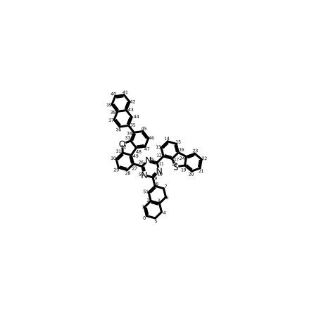 C1=CC2=C(CC1)CCC(c1nc(-c3cccc4c3sc3ccccc34)nc(-c3cccc4oc5c(-c6ccc7ccccc7c6)cccc5c34)n1)=C2